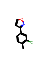 Cc1ccc(-c2ccon2)cc1Cl